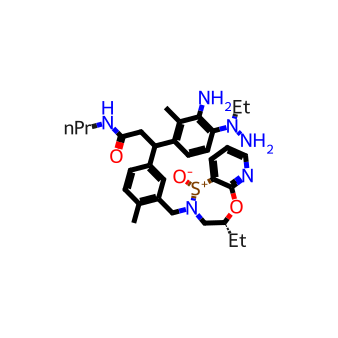 CCCNC(=O)CC(c1ccc(C)c(CN2C[C@@H](CC)Oc3ncccc3[S+]2[O-])c1)c1ccc(N(N)CC)c(N)c1C